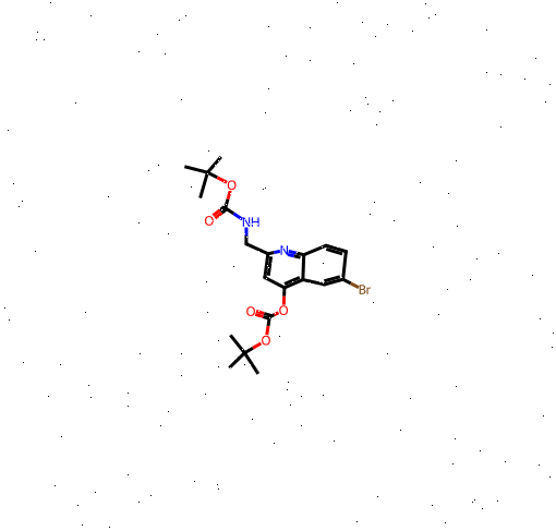 CC(C)(C)OC(=O)NCc1cc(OC(=O)OC(C)(C)C)c2cc(Br)ccc2n1